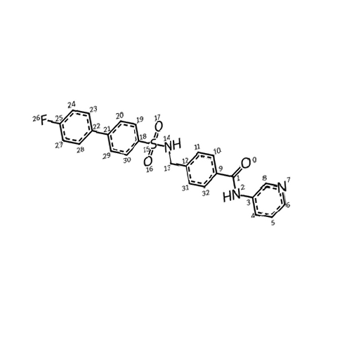 O=C(Nc1cccnc1)c1ccc(CNS(=O)(=O)c2ccc(-c3ccc(F)cc3)cc2)cc1